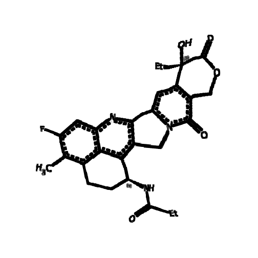 [CH2]CC(=O)N[C@H]1CCc2c(C)c(F)cc3nc4c(c1c23)Cn1c-4cc2c(c1=O)COC(=O)[C@]2(O)CC